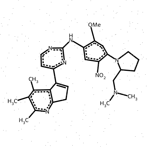 COc1cc(N2CCCC2CN(C)C)c([N+](=O)[O-])cc1Nc1nccc(C2=CCc3nc(C)c(C)c(C)c32)n1